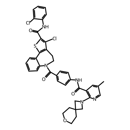 Cc1cnc(N2CC3(CCOCC3)C2)c(C(=O)Nc2ccc(C(=O)N3CCc4c(sc(C(=O)Nc5ccccc5Cl)c4Cl)-c4ccccc43)cc2)c1